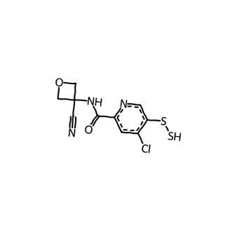 N#CC1(NC(=O)c2cc(Cl)c(SS)cn2)COC1